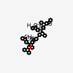 CC1(C)c2ccccc2-c2ccc(N(c3ccc4c5ccccc5c5ccccc5c4c3)c3cc4oc5cc(-c6ccc7c(N(c8ccc(-c9cc%10oc%11ccccc%11c%10cc9-c9ccccc9)cc8)c8ccc9c(c8)C(C)(C)c8ccccc8-9)cc8ccccc8c7c6)ccc5c4cc3-c3ccccc3)cc21